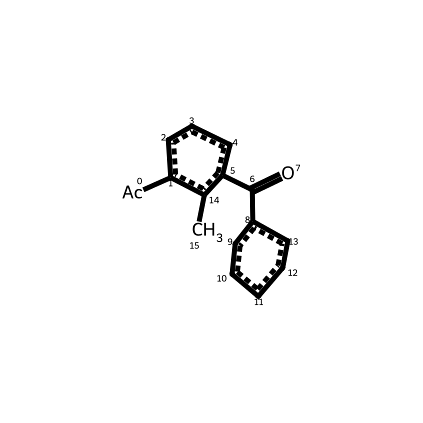 CC(=O)c1cccc(C(=O)c2ccccc2)c1C